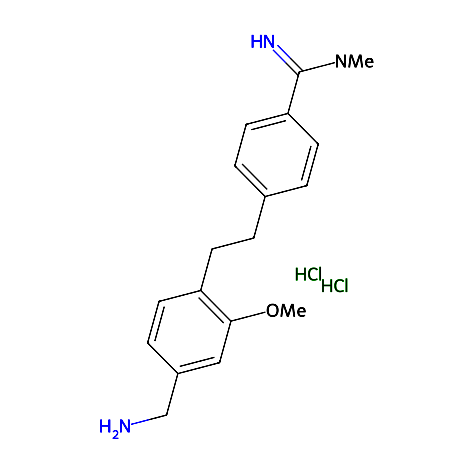 CNC(=N)c1ccc(CCc2ccc(CN)cc2OC)cc1.Cl.Cl